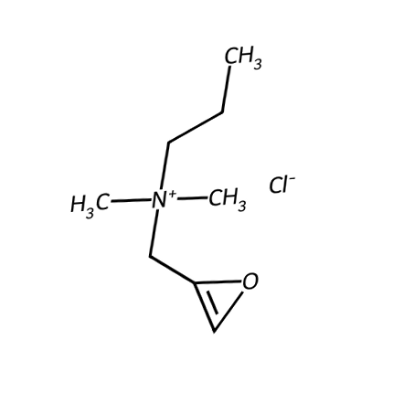 CCC[N+](C)(C)CC1=CO1.[Cl-]